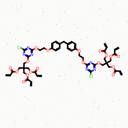 C=CC(=O)OCC(COC(=O)C=C)(COC(=O)C=C)COc1nc(Cl)nc(OCCOc2ccc(Cc3ccc(OCCOc4nc(Cl)nc(OCC(COC(=O)C=C)(COC(=O)C=C)COC(=O)C=C)n4)cc3)cc2)n1